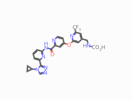 O=C(O)NCc1cc(Oc2ccnc(C(=O)Nc3cccc(-c4nncn4C4CC4)n3)c2)nc(C(F)(F)F)c1